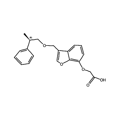 C[C@@H](COCc1coc2c(OCC(=O)O)cccc12)c1ccccc1